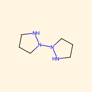 [CH]1CCN(N2CCCN2)N1